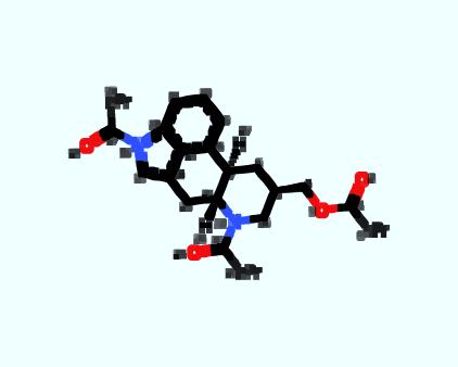 CCCC(=O)OC[C@@H]1C[C@@H]2c3cccc4c3c(cn4C(=O)CCC)C[C@H]2N(C(=O)CCC)C1